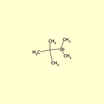 [CH3][Sb]([CH3])[C](C)(C)C